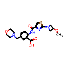 COC1CN(c2nc(C(=O)Nc3ccc(CN4CCOCC4)cc3C(=O)O)cs2)C1